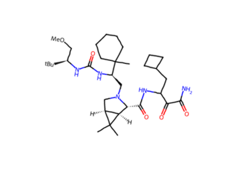 COC[C@@H](NC(=O)N[C@H](CN1C[C@H]2[C@@H]([C@H]1C(=O)NC(CC1CCC1)C(=O)C(N)=O)C2(C)C)C1(C)CCCCC1)C(C)(C)C